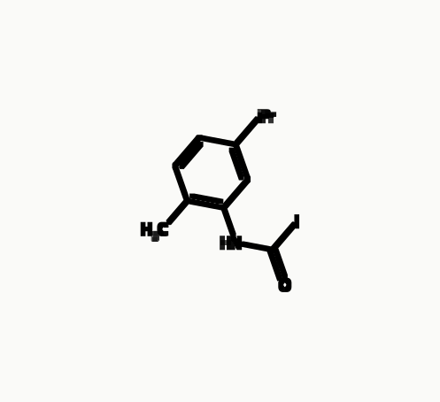 Cc1ccc(C(C)C)cc1NC(=O)I